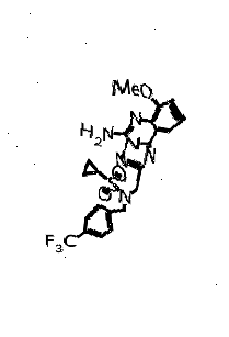 COc1cccc2c1nc(N)n1nc(CN(Cc3ccc(C(F)(F)F)cc3)S(=O)(=O)C3CC3)nc21